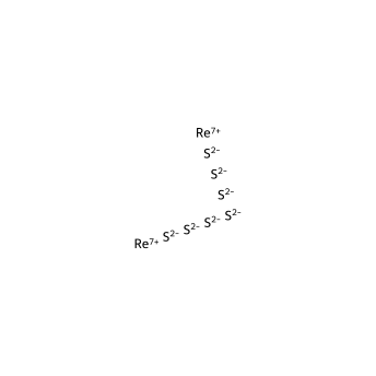 [Re+7].[Re+7].[S-2].[S-2].[S-2].[S-2].[S-2].[S-2].[S-2]